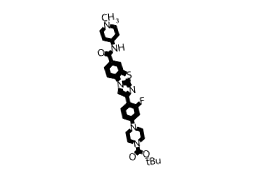 CN1CCC(NC(=O)c2ccc3c(c2)sc2nc(-c4ccc(N5CCN(C(=O)OC(C)(C)C)CC5)cc4F)cn23)CC1